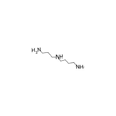 [NH]CCCCNCCCN